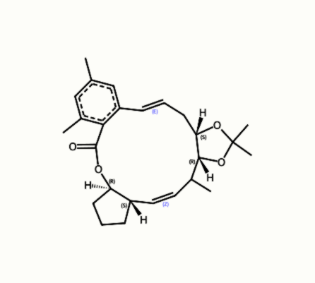 Cc1cc(C)c2c(c1)/C=C/C[C@@H]1OC(C)(C)O[C@@H]1C(C)/C=C\[C@@H]1CCC[C@H]1OC2=O